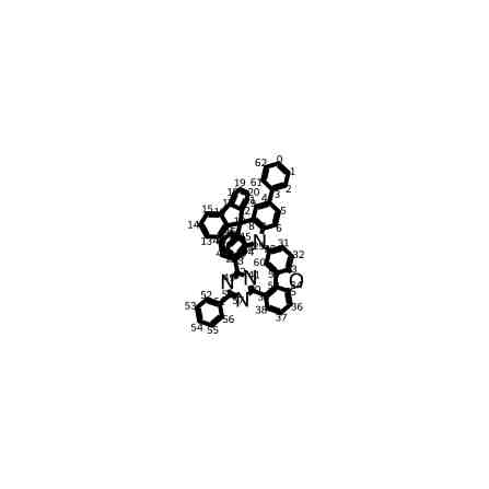 c1ccc(-c2ccc3c(c2)C2(c4ccccc4-c4ccccc42)c2ccccc2N3c2ccc3oc4cccc(-c5nc(-c6ccccc6)nc(-c6ccccc6)n5)c4c3c2)cc1